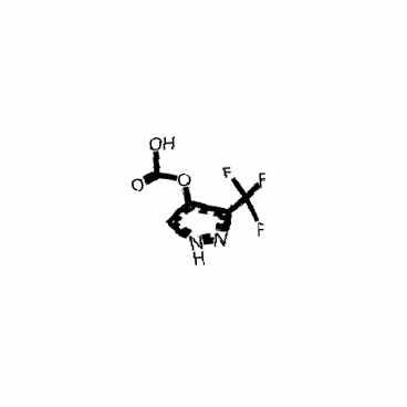 O=C(O)Oc1c[nH]nc1C(F)(F)F